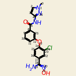 Cn1ccc(NC(=O)c2cccc(Oc3ccc(/C(N)=N/O)cc3Cl)c2)n1